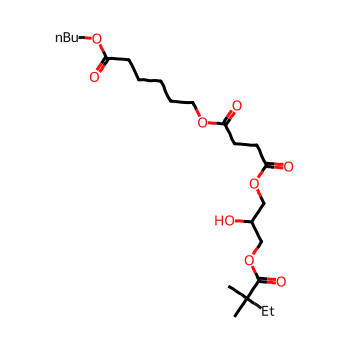 CCCCOC(=O)CCCCCOC(=O)CCC(=O)OCC(O)COC(=O)C(C)(C)CC